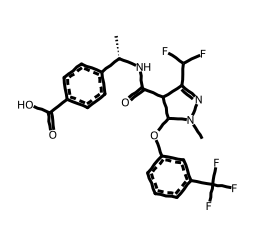 C[C@H](NC(=O)C1C(C(F)F)=NN(C)C1Oc1cccc(C(F)(F)F)c1)c1ccc(C(=O)O)cc1